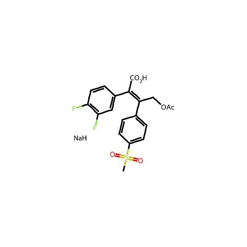 CC(=O)OC/C(=C(\C(=O)O)c1ccc(F)c(F)c1)c1ccc(S(C)(=O)=O)cc1.[NaH]